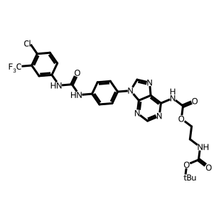 CC(C)(C)OC(=O)NCCOC(=O)Nc1ncnc2c1ncn2-c1ccc(NC(=O)Nc2ccc(Cl)c(C(F)(F)F)c2)cc1